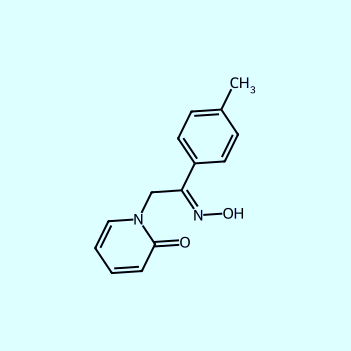 Cc1ccc(/C(Cn2ccccc2=O)=N\O)cc1